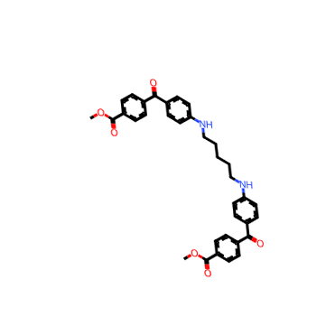 COC(=O)c1ccc(C(=O)c2ccc(NCCCCCNc3ccc(C(=O)c4ccc(C(=O)OC)cc4)cc3)cc2)cc1